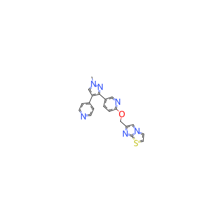 Cn1cc(-c2ccncc2)c(-c2ccc(OCc3cn4ccsc4n3)nc2)n1